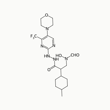 CC1CCC(C(CN(O)C=O)C(=O)NNc2ncc(N3CCOCC3)c(C(F)(F)F)n2)CC1